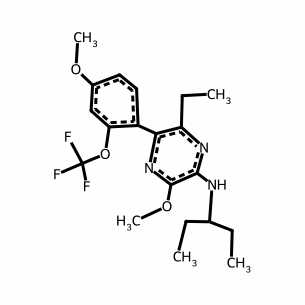 CCc1nc(NC(CC)CC)c(OC)nc1-c1ccc(OC)cc1OC(F)(F)F